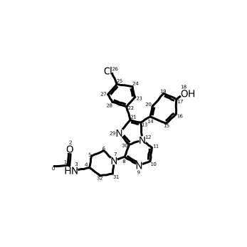 CC(=O)NC1CCN(c2nccn3c(-c4ccc(O)cc4)c(-c4ccc(Cl)cc4)nc23)CC1